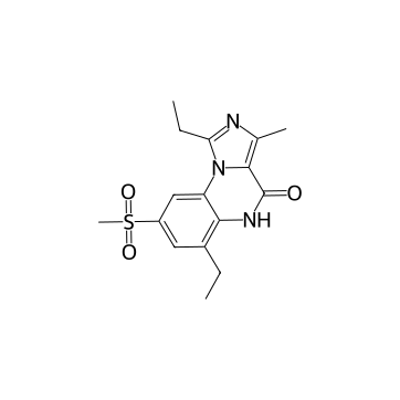 CCc1cc(S(C)(=O)=O)cc2c1[nH]c(=O)c1c(C)nc(CC)n12